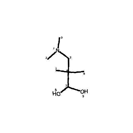 CN(C)CC(C)(C)C(O)O